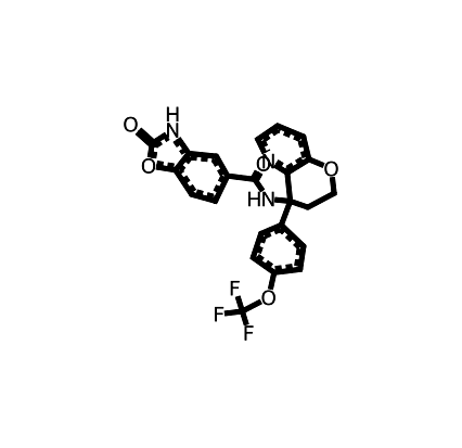 O=C(NC1(c2ccc(OC(F)(F)F)cc2)CCOc2cccnc21)c1ccc2oc(=O)[nH]c2c1